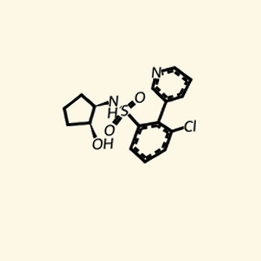 O=S(=O)(N[C@@H]1CCC[C@@H]1O)c1cccc(Cl)c1-c1cccnc1